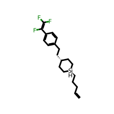 C=CCCC[Si@H]1CC[C@H](CCc2ccc(C(F)=C(F)F)cc2)CC1